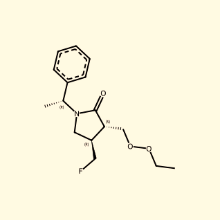 CCOOC[C@H]1C(=O)N([C@H](C)c2ccccc2)C[C@@H]1CF